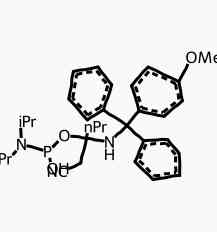 CCCC(CC#N)(NC(c1ccccc1)(c1ccccc1)c1ccc(OC)cc1)OP(O)N(C(C)C)C(C)C